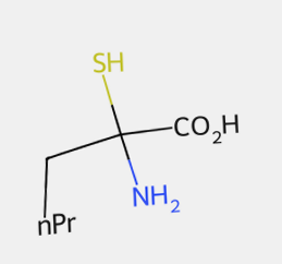 CCCCC(N)(S)C(=O)O